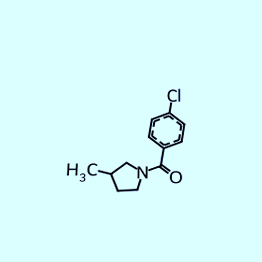 CC1CCN(C(=O)c2ccc(Cl)cc2)C1